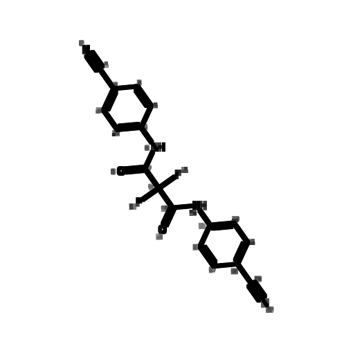 N#Cc1ccc(NC(=O)C(F)(F)C(=O)Nc2ccc(C#N)cc2)cc1